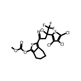 COC(=O)Oc1sc(C2=NOC(c3sc(Cl)c(Cl)c3Cl)(C(F)(F)F)C2)c2c1CCCC2